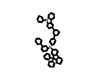 c1ccc(-c2cccc(N(c3ccc(-c4cccc(-c5ccc6c(c5)c5ccccc5n6-c5ccccc5)c4)cc3)c3ccc4c(c3)C(c3ccccc3)(c3ccccc3)c3ccccc3-4)c2)cc1